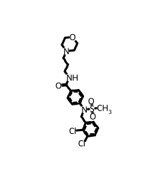 CS(=O)(=O)N(Cc1cccc(Cl)c1Cl)c1ccc(C(=O)NCCCN2CCOCC2)cc1